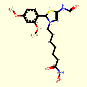 COc1ccc(C2SC(NC=O)=CN2CCCCCCC(=O)NO)c(OC)c1